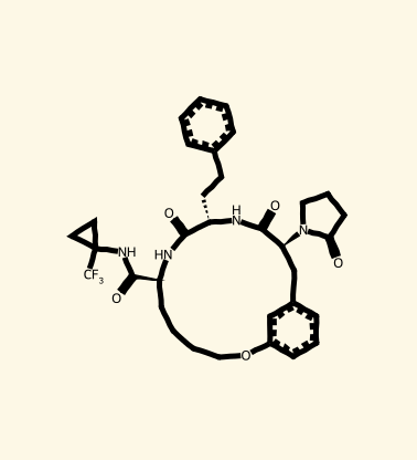 O=C(NC1(C(F)(F)F)CC1)[C@@H]1CCCCOc2cccc(c2)C[C@H](N2CCCC2=O)C(=O)N[C@@H](CCc2ccccc2)C(=O)N1